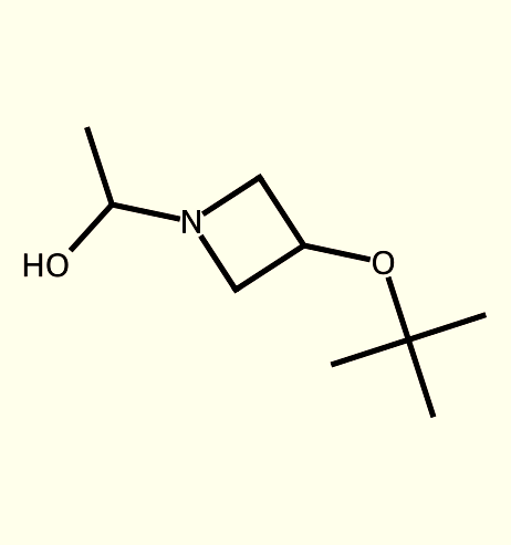 CC(O)N1CC(OC(C)(C)C)C1